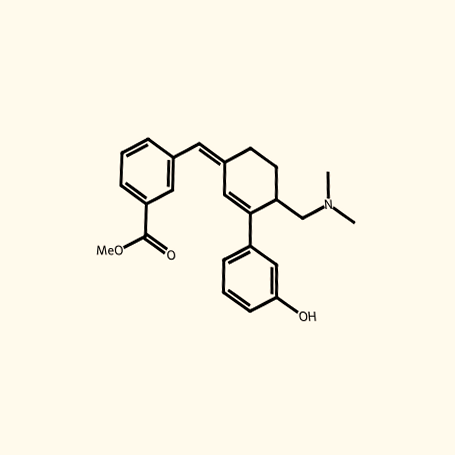 COC(=O)c1cccc(C=C2C=C(c3cccc(O)c3)C(CN(C)C)CC2)c1